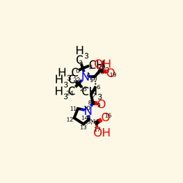 CC(C)(C)N([C@@H](CCC(=O)N1CCC[C@H]1C(=O)O)C(=O)O)C(C)(C)C